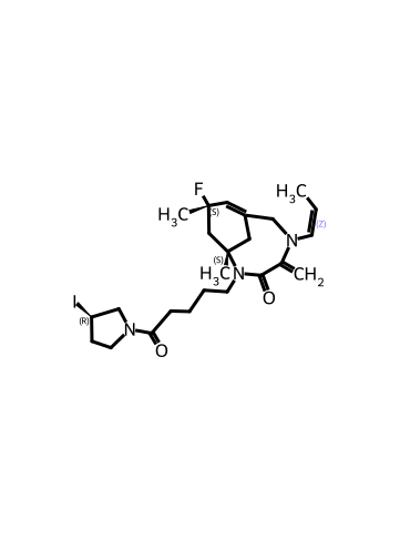 C=C1C(=O)N(CCCCC(=O)N2CC[C@@H](I)C2)[C@@]2(C)CC(=C[C@@](C)(F)C2)CN1/C=C\C